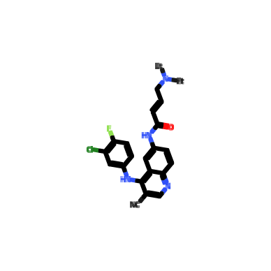 CCN(CC)CC=CC(=O)Nc1ccc2ncc(C#N)c(Nc3ccc(F)c(Cl)c3)c2c1